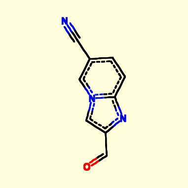 N#Cc1ccc2nc(C=O)cn2c1